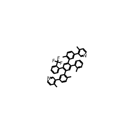 Cc1ccncc1-c1ccc(C)c(-c2cc(-c3ccccc3C(F)(F)F)c(-c3cc(-c4cnccc4C)ccc3C)cc2-c2ccccc2C)c1